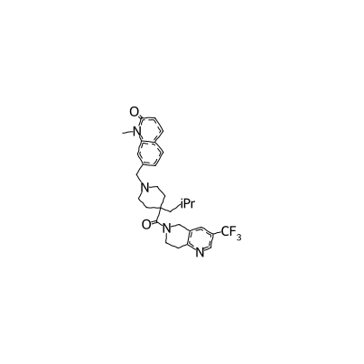 CC(C)CC1(C(=O)N2CCc3ncc(C(F)(F)F)cc3C2)CCN(Cc2ccc3ccc(=O)n(C)c3c2)CC1